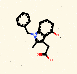 Cc1c(CC(=O)O)c2c(O)cccc2n1Cc1ccccc1